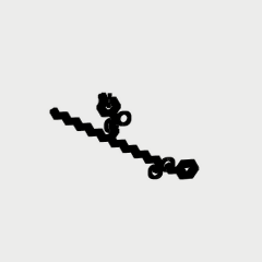 CCCCCCCCCCC(CCCCCCCCC(=O)OCc1ccccc1)COC(=O)C1CCN(C)CC1